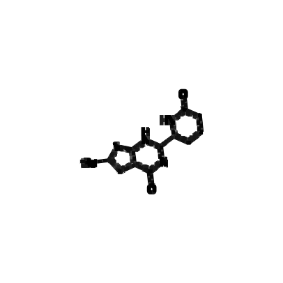 CC(C)(C)c1cc2c(=O)nc(-c3cccc(=O)[nH]3)[nH]c2s1